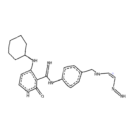 N=N/C=C\NCc1ccc(NC(=N)c2c(NC3CCCCC3)cc[nH]c2=O)cc1